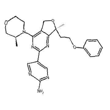 C[C@H]1COCCN1c1nc(-c2cnc(N)nc2)nc2c1CO[C@@]2(C)CCOc1ccccc1